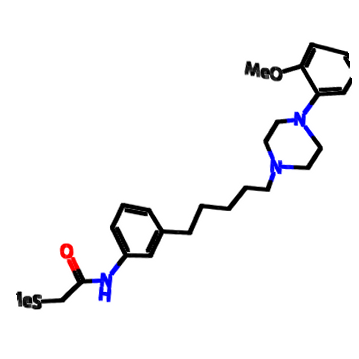 COc1ccccc1N1CCN(CCCCCc2cccc(NC(=O)CSC)c2)CC1